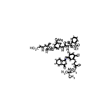 CCS(=O)(=O)c1cccnc1S(=O)(=O)NC(=O)Nc1nc(OC)cc(OC)n1.COC(=O)CSc1cc(/N=c2\sc(=O)n3n2CCCC3)c(F)cc1Cl.C[S+](C)C.O=C(O)CNCP(=O)([O-])O